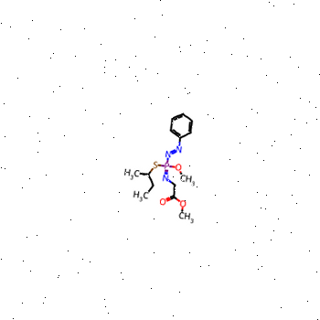 CCC(C)SP(N=Nc1ccccc1)(=NCC(=O)OC)OC